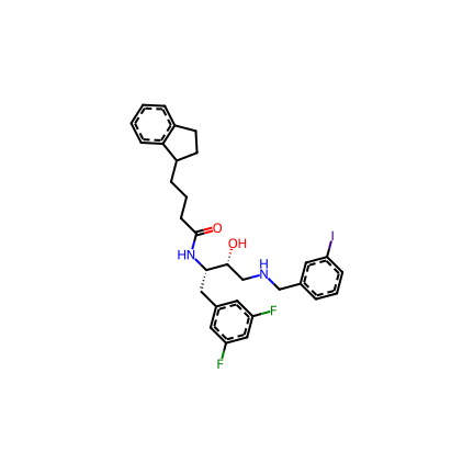 O=C(CCCC1CCc2ccccc21)N[C@@H](Cc1cc(F)cc(F)c1)[C@H](O)CNCc1cccc(I)c1